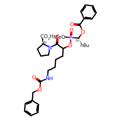 CCCC[C@@H](OC(=O)c1ccccc1)P(=O)(OC)OC(CCCCNC(=O)OCc1ccccc1)C(=O)N1CCC[C@H]1C(=O)O